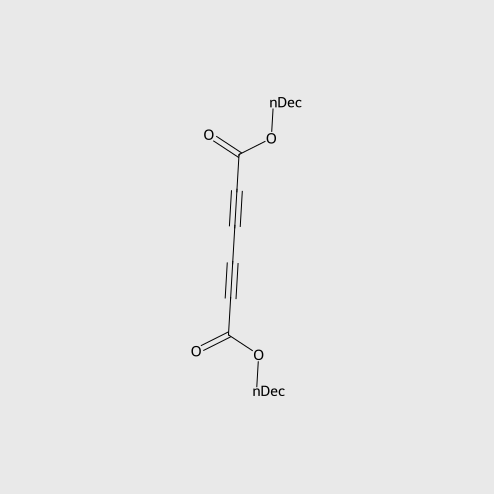 CCCCCCCCCCOC(=O)C#CC#CC(=O)OCCCCCCCCCC